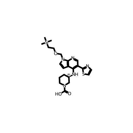 C[Si](C)(C)CCOCn1ccc2c(N[C@@H]3CCCN(C(=O)O)C3)c(-c3nccs3)cnc21